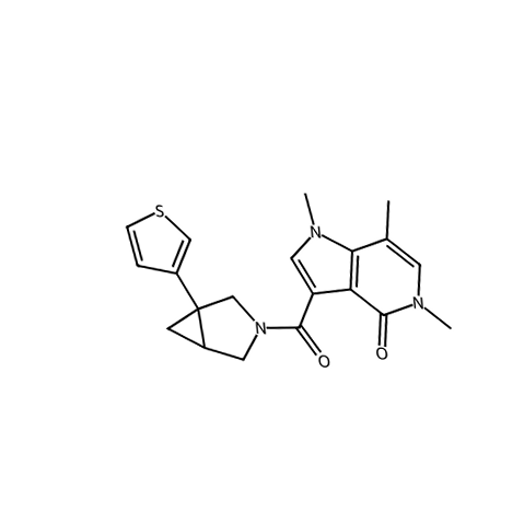 Cc1cn(C)c(=O)c2c(C(=O)N3CC4CC4(c4ccsc4)C3)cn(C)c12